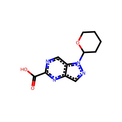 O=C(O)c1ncc2c(cnn2C2CCCCO2)n1